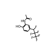 CC(=O)Nc1cc(C(F)C(F)(F)C(F)(F)F)ccc1O